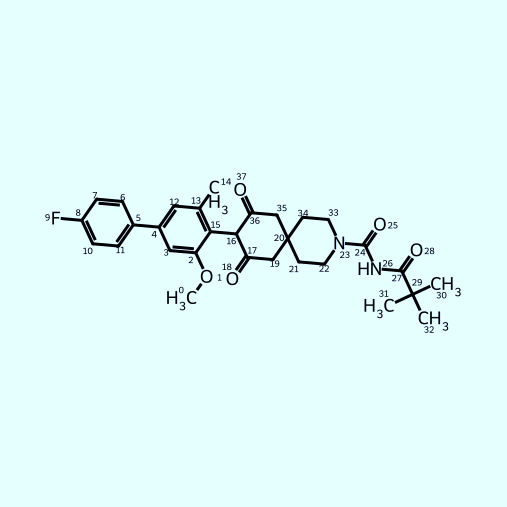 COc1cc(-c2ccc(F)cc2)cc(C)c1C1C(=O)CC2(CCN(C(=O)NC(=O)C(C)(C)C)CC2)CC1=O